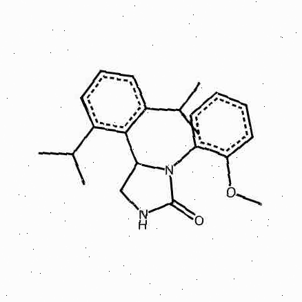 COc1ccccc1N1C(=O)NCC1c1c(C(C)C)cccc1C(C)C